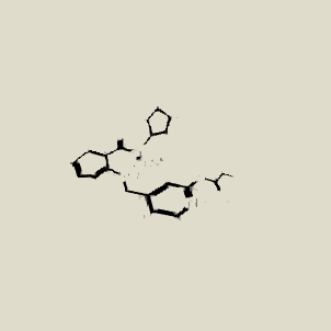 CON(C(=O)c1ccccc1NCc1ccnc(NC(=O)COC(C)=O)c1)C1CCCC1